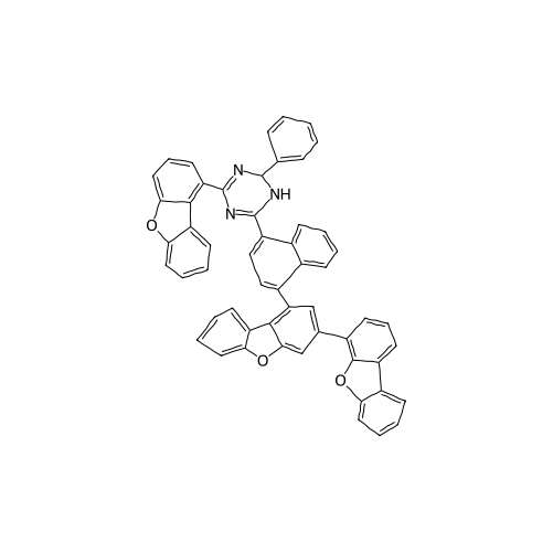 c1ccc(C2N=C(c3cccc4oc5ccccc5c34)N=C(c3ccc(-c4cc(-c5cccc6c5oc5ccccc56)cc5oc6ccccc6c45)c4ccccc34)N2)cc1